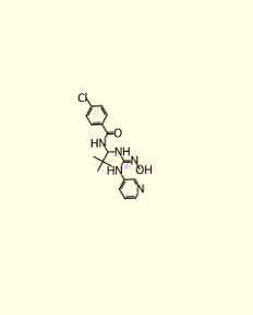 CC(C)(C)C(NC(=O)c1ccc(Cl)cc1)N/C(=N/O)Nc1cccnc1